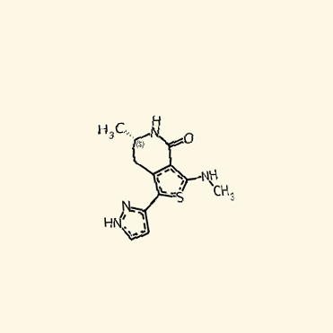 CNc1sc(-c2cc[nH]n2)c2c1C(=O)N[C@@H](C)C2